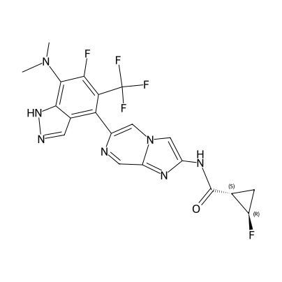 CN(C)c1c(F)c(C(F)(F)F)c(-c2cn3cc(NC(=O)[C@@H]4C[C@H]4F)nc3cn2)c2cn[nH]c12